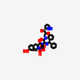 CC(=O)N([C@@H](Cc1ccc(O)cc1)C(=O)N[C@@H]1N=C(c2ccccc2)c2ccccc2N(CC(=O)C(=O)[C@@H]2CCCN2)C1=O)P(=O)(O)O